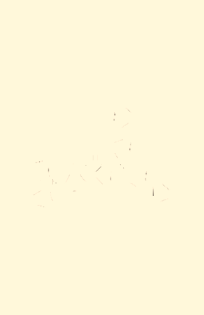 CC1(C)c2cc(N3C4=CC=CCC4c4ccccc43)ccc2-c2ccc(N(c3ccc(-c4ccccc4)cc3)C3C=CC(c4ccccc4)=CC3)cc21